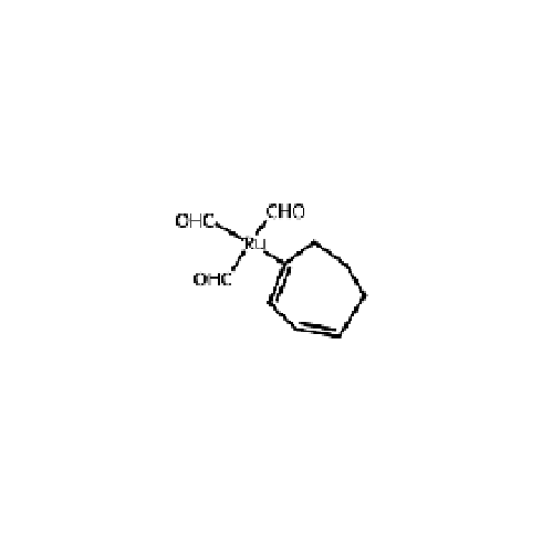 O=[CH][Ru]([CH]=O)([CH]=O)[C]1=CC=CCCC1